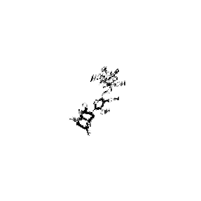 O=c1nc2[nH]cc(F)nc-2cc1[C@@H]1O[C@H](COP(=O)(O)OP(=O)(O)OP(=O)(O)O)C(O)[C@@H]1O